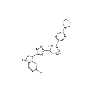 O=C(NC(CO)c1nc(-c2c[nH]c3ccc(Cl)cc23)no1)c1ccc(N2CCCC2)cc1